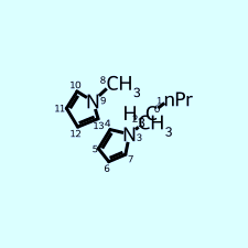 CCCC.Cn1cccc1.Cn1cccc1